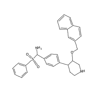 NC(c1ccc(C2CCNCC2OCc2ccc3ccccc3c2)cc1)S(=O)(=O)c1ccccc1